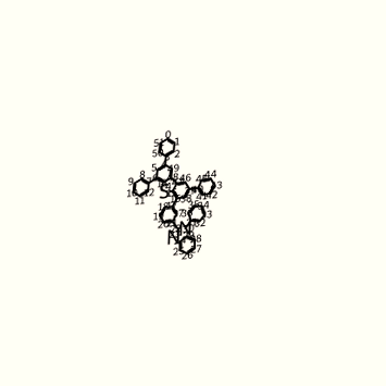 c1ccc(-c2cc(-c3ccccc3)c3sc4c(-c5cccc(-c6nc7ccccc7n6-c6ccccc6)c5)cc(-c5ccccc5)cc4c3c2)cc1